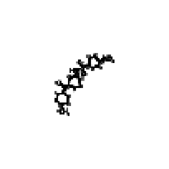 CN1CCC(C(=O)c2cccc(NS(=O)(=O)c3ccc([N+](=O)[O-])cc3)c2)CC1